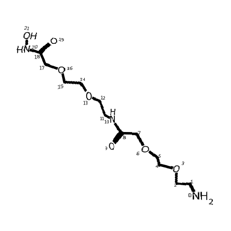 NCCOCCOCC(=O)NCCOCCOCC(=O)NO